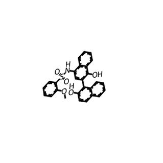 COc1ccccc1S(=O)(=O)Nc1cc(-c2c(O)ccc3ccccc23)c(O)c2ccccc12